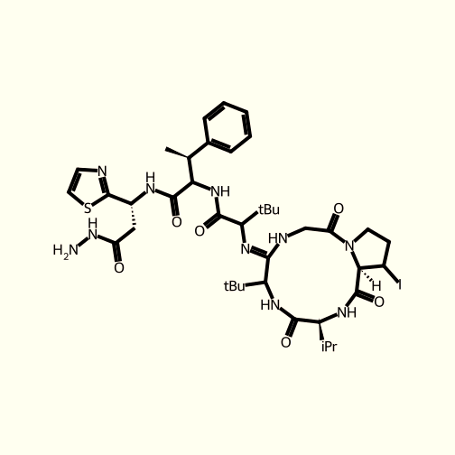 CC(C)[C@@H]1NC(=O)[C@@H]2C(I)CCN2C(=O)CN/C(=N\C(C(=O)NC(C(=O)N[C@H](CC(=O)NN)c2nccs2)[C@@H](C)c2ccccc2)C(C)(C)C)C(C(C)(C)C)NC1=O